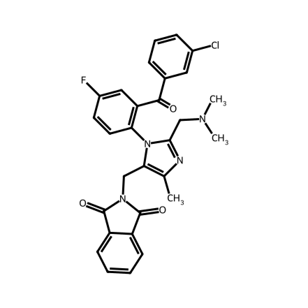 Cc1nc(CN(C)C)n(-c2ccc(F)cc2C(=O)c2cccc(Cl)c2)c1CN1C(=O)c2ccccc2C1=O